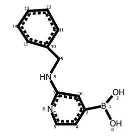 OB(O)c1ccnc(NCc2ccccc2)c1